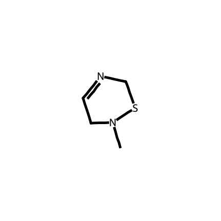 CN1CC=NCS1